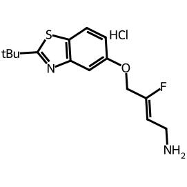 CC(C)(C)c1nc2cc(OC/C(F)=C/CN)ccc2s1.Cl